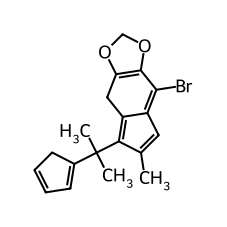 CC1=CC2=C(Br)C3=C(CC2=C1C(C)(C)C1=CC=CC1)OCO3